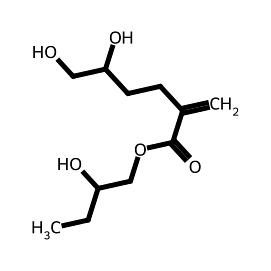 C=C(CCC(O)CO)C(=O)OCC(O)CC